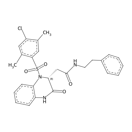 Cc1cc(S(=O)(=O)N2c3ccccc3NC(=O)[C@H]2CC(=O)NCCc2ccccc2)c(C)cc1Cl